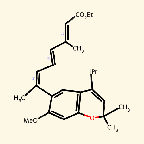 CCOC(=O)/C=C(C)/C=C/C=C(/C)c1cc2c(cc1OC)OC(C)(C)C=C2C(C)C